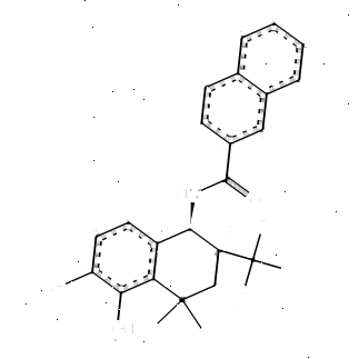 CC1(C)C[C@](O)(C(F)(F)F)[C@H](NC(=O)c2ccc3ccccc3c2)c2ccc(F)c(O)c21